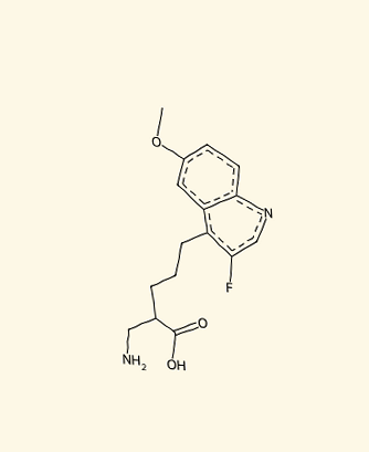 COc1ccc2ncc(F)c(CCCC(CN)C(=O)O)c2c1